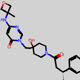 C[C@H](CC(=O)N1CCC(O)(Cn2cnc(NC3(C)COC3)cc2=O)CC1)c1ccccc1